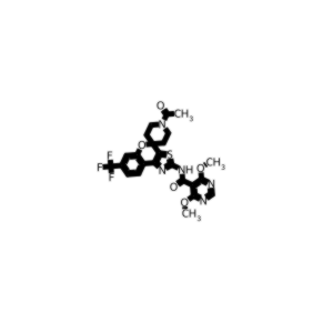 COc1ncnc(OC)c1C(=O)Nc1nc2c(s1)C1(CCN(C(C)=O)CC1)Oc1cc(C(F)(F)F)ccc1-2